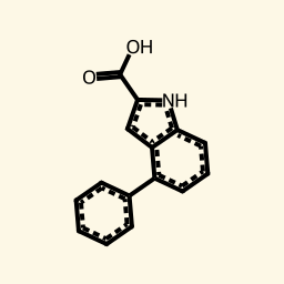 O=C(O)c1cc2c(-c3ccccc3)cccc2[nH]1